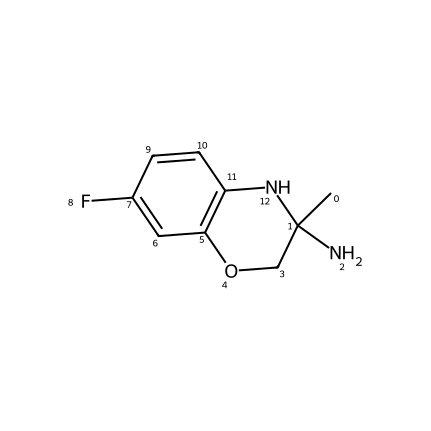 CC1(N)COc2cc(F)ccc2N1